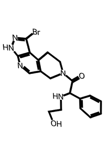 O=C(C(NCCO)c1ccccc1)N1CCc2c(cnc3[nH]nc(Br)c23)C1